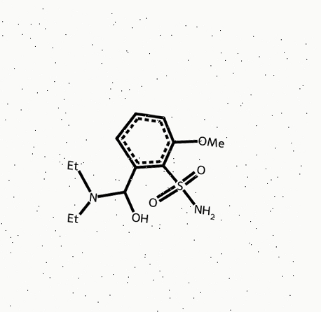 CCN(CC)C(O)c1cccc(OC)c1S(N)(=O)=O